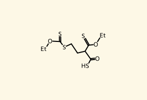 CCOC(=S)SCCC(C(=O)S)C(=S)OCC